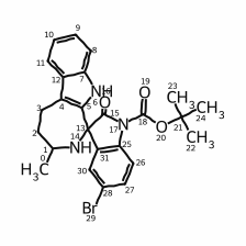 CC1CCc2c([nH]c3ccccc23)C2(N1)C(=O)N(C(=O)OC(C)(C)C)c1ccc(Br)cc12